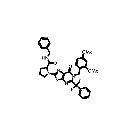 COc1ccc(Cn2c(C(F)(F)c3ccccc3)nc3sc(N4CCCC4C(=O)NCc4ccccc4)nc3c2=O)c(OC)c1